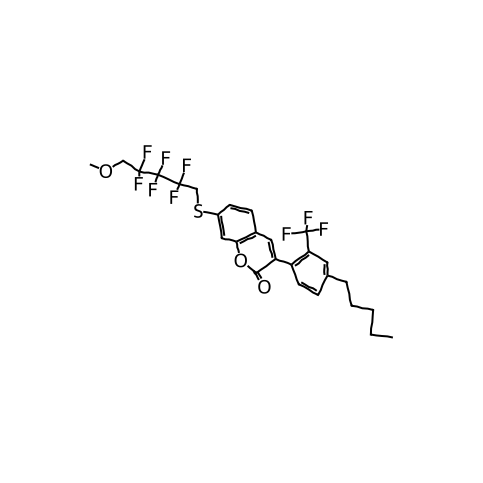 CCCCCc1ccc(-c2cc3ccc(SCC(F)(F)C(F)(F)C(F)(F)COC)cc3oc2=O)c(C(F)(F)F)c1